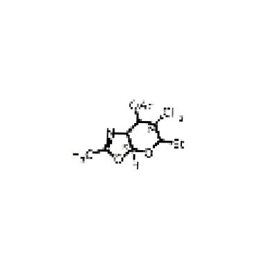 CCC1O[C@@H]2OC(C)=NC2C(OC(C)=O)[C@H]1C